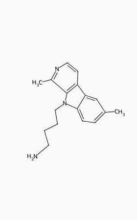 Cc1ccc2c(c1)c1ccnc(C)c1n2CCCCN